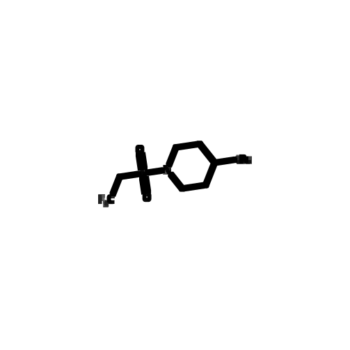 CC(C)(C)C1CCN(S(=O)(=O)CC(F)(F)F)CC1